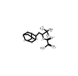 C=C(C)C(=O)OC(CC1C2CC3CC(C2)CC1C3)C(O)(C(F)(F)F)C(F)(F)F